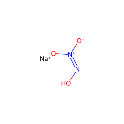 [Na+].[O-][N+]([O-])=NO